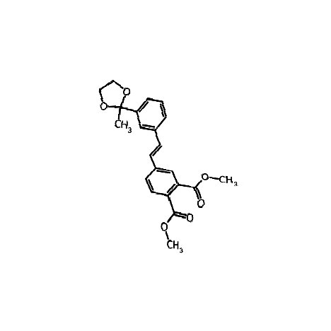 COC(=O)c1ccc(C=Cc2cccc(C3(C)OCCO3)c2)cc1C(=O)OC